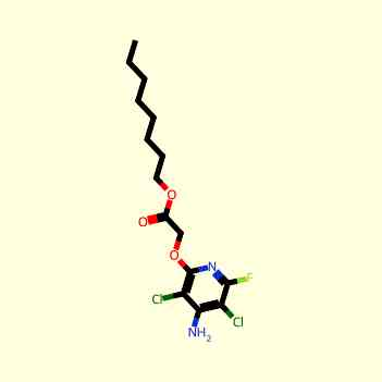 CCCCCCCCOC(=O)COc1nc(F)c(Cl)c(N)c1Cl